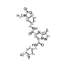 CC(=O)c1ccc(CNC(=O)c2cc(C(=O)NCc3ccc4oc(=O)n(C)c4c3)nc3c(F)cnn23)cc1F